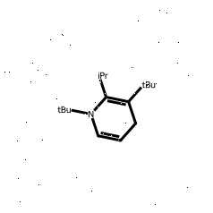 CC(C)C1=C(C(C)(C)C)CC=CN1C(C)(C)C